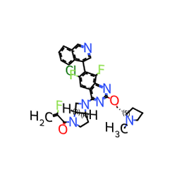 C=C(F)C(=O)N1CC[C@@H]2[C@H]1CN2c1nc(OC[C@@H]2CCCN2C)nc2c(F)c(-c3cncc4cccc(Cl)c34)c(F)cc12